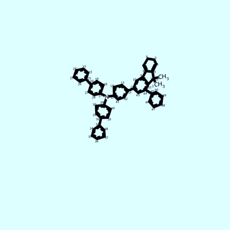 CC1(C)C2=CCCC=C2c2cc(-c3ccc(N(c4ccc(-c5ccccc5)cc4)c4ccc(-c5ccccc5)cc4)cc3)cc(-c3ccccc3)c21